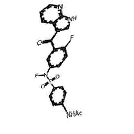 CC(=O)Nc1ccc(S(=O)(=O)N(F)c2ccc(F)c(C(=O)c3c[nH]c4ncccc34)c2)cc1